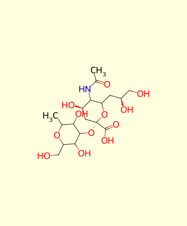 CC(=O)NC1C(C[C@H](O)CO)O[C@@](OC2C(O)C(C)OC(CO)C2O)(C(=O)O)C[C@H]1O